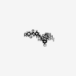 CC(C)[Si](Oc1ccc(Cl)cc1NC(=O)NCc1ccc2c(c1)CN(C1CCC(=O)NC1=O)C2=O)(C(C)C)C(C)C